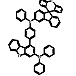 c1ccc(N(c2ccc(-c3cc(N(c4ccccc4)c4ccccc4)cc4oc5ccccc5c34)cc2)c2ccc3c(c2)-c2ccccc2C32c3ccccc3Sc3ccccc32)cc1